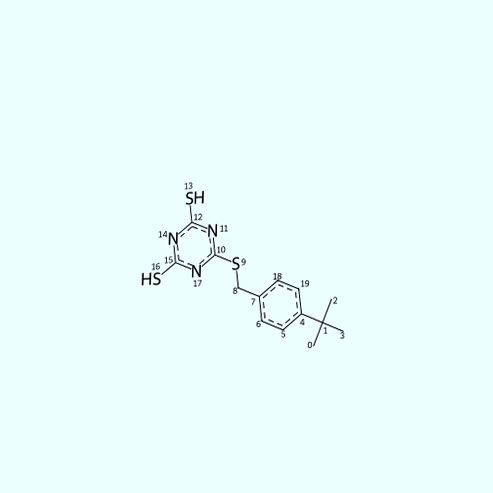 CC(C)(C)c1ccc(CSc2nc(S)nc(S)n2)cc1